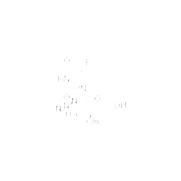 C[C@@]1(N=[N+]=[N-])[C@H](O)[C@@H](CO)O[C@H]1n1cc(F)c(=O)[nH]c1=O